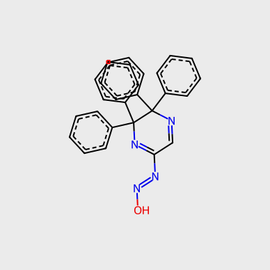 ON=NC1=NC(c2ccccc2)(c2ccccc2)C(c2ccccc2)(c2ccccc2)N=C1